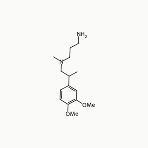 COc1ccc(C(C)CN(C)CCCN)cc1OC